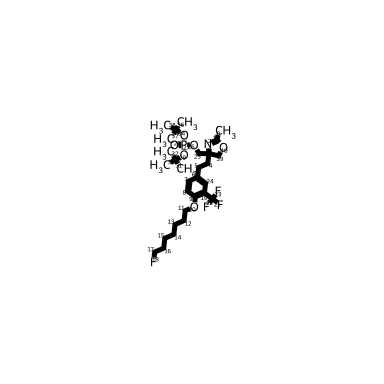 CC1=NC(CCc2ccc(OCCCCCCCF)c(C(F)(F)F)c2)(COP(=O)(OC(C)(C)C)OC(C)(C)C)CO1